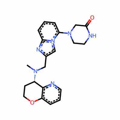 CN(Cc1cn2c(N3CCNC(=O)C3)cccc2n1)[C@H]1CCOc2cccnc21